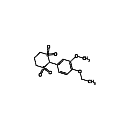 CCOc1ccc(C2S(=O)(=O)CCCS2(=O)=O)cc1OC